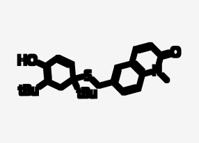 Cn1c(=O)ccc2cc(CSC3(C(C)(C)C)C=CC(O)=C(C(C)(C)C)C3)ccc21